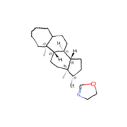 C1=NCCO1.CC[C@H]1CC[C@H]2[C@@H]3CCC4CCCC[C@]4(C)[C@H]3CC[C@]12C